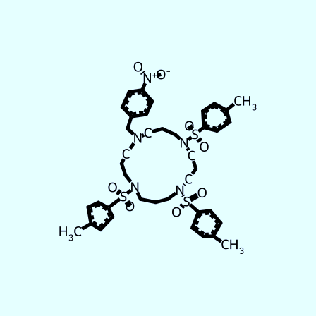 Cc1ccc(S(=O)(=O)N2CCCN(Cc3ccc([N+](=O)[O-])cc3)CCCN(S(=O)(=O)c3ccc(C)cc3)CCCN(S(=O)(=O)c3ccc(C)cc3)CCC2)cc1